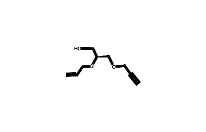 C#CCOC[C@H](CO)OCC=C